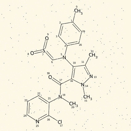 Cc1ccc(N(C=S(=O)=O)c2c(C)nn(C)c2C(=O)N(C)c2cccnc2Cl)cc1